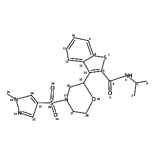 CC(C)NC(=O)c1sc2ccccc2c1C1CN(S(=O)(=O)c2cnn(C)c2)CCO1